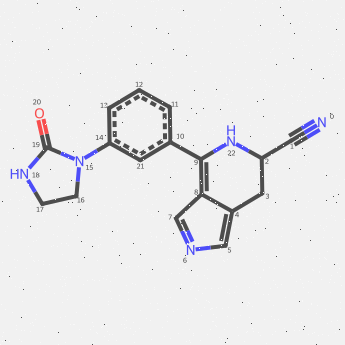 N#CC1CC2=CN=CC2=C(c2cccc(N3CCNC3=O)c2)N1